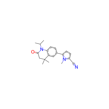 CC(C)N1C(=O)CC(C)(C)c2cc(-c3ccc(C#N)n3C)ccc21